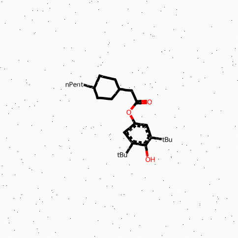 CCCCCC1CCC(CC(=O)Oc2cc(C(C)(C)C)c(O)c(C(C)(C)C)c2)CC1